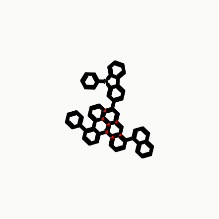 c1ccc(-c2ccccc2-c2c(-c3ccccc3)cccc2N(c2ccc(-c3ccc4c5ccccc5n(-c5ccccc5)c4c3)cc2)c2cccc(-c3cccc4ccccc34)c2)cc1